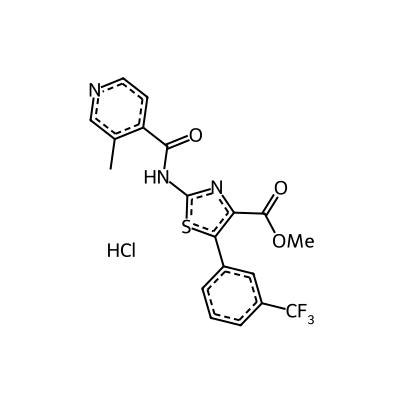 COC(=O)c1nc(NC(=O)c2ccncc2C)sc1-c1cccc(C(F)(F)F)c1.Cl